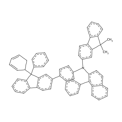 CC1(C)c2ccccc2-c2ccc(N(c3ccc(-c4ccc5c(c4)C(c4ccccc4)(C4C=CC=CC4)c4ccccc4-5)cc3)c3ccc4ccccc4c3-c3ccccc3)cc21